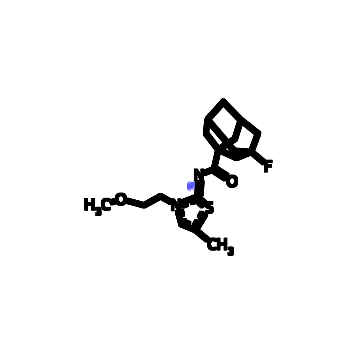 COCCn1cc(C)s/c1=N\C(=O)C12CC3CC(CC(F)(C3)C1)C2